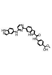 COC(O)c1ccc(NC(=O)c2cc3ccc(-c4nccc(Nc5ccc6[nH]ncc6c5)n4)cc3[nH]2)cc1